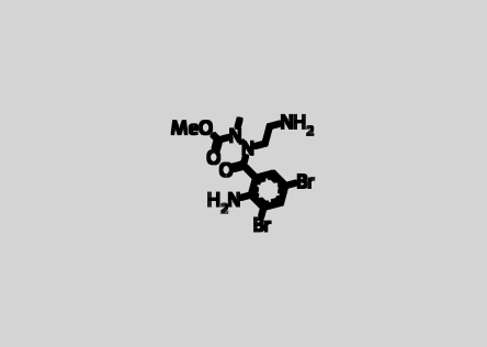 COC(=O)N(C)N(CCN)C(=O)c1cc(Br)cc(Br)c1N